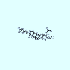 CC(=O)Oc1ccc(C(=O)Nc2cc3ccc(OCC4CCN(C)C4)c(C)c3oc2=O)cc1CC=C(C)C